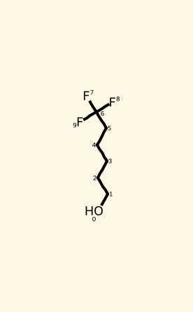 OCCCCCC(F)(F)F